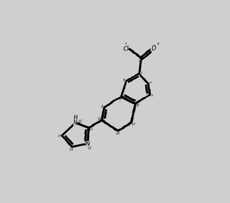 O=C(Cl)c1ccc2c(c1)C=C(c1ncc[nH]1)CC2